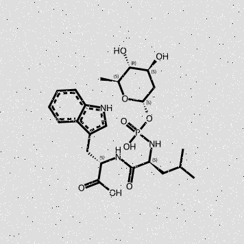 CC(C)C[C@H](NP(=O)(O)O[C@H]1C[C@H](O)[C@@H](O)[C@H](C)O1)C(=O)N[C@@H](Cc1c[nH]c2ccccc12)C(=O)O